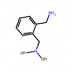 CCCN(CCC)Cc1ccccc1CN